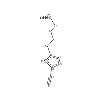 C#Cc1ccc(CCCCCCCCCC)s1